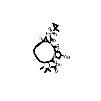 CC[C@@H]1C[C@H](C)CCC=C[C@@H]2C[C@@]2(C(=O)NS(=O)(=O)C2(C)CC2)NC(=O)[C@@H]2C[C@@H](O)CN2C(=O)[C@H]1N(C(=O)O)C(C)(C)C